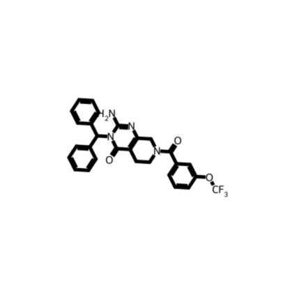 Nc1nc2c(c(=O)n1C(c1ccccc1)c1ccccc1)CCN(C(=O)c1cccc(OC(F)(F)F)c1)C2